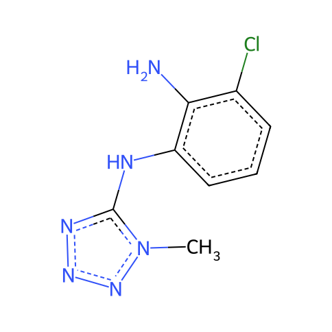 Cn1nnnc1Nc1cccc(Cl)c1N